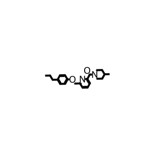 CCCc1ccc(OCc2cccc(C(=O)N3CCC(C)CC3)n2)cc1